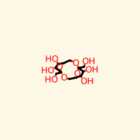 OCC12OCC3OC(CO)(OCC(O1)C(O)C2O)C(O)C3O